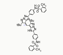 Cc1ccccc1S(=O)(=O)Nc1ccc(-c2nc3/c(=C\c4c(C(C)(C)C)nn5nc(-c6ccc(NS(=O)(=O)c7ccccc7C)cc6)[nH]c45)c(C(C)(C)C)nn3n2)cc1